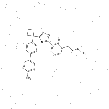 COCCn1cccc(-c2nc(C3(c4ccc(-c5cnc(N)nc5)cc4)CCC3)no2)c1=O